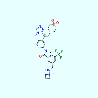 Cn1cnnc1[C@@H](CC1CCS(=O)(=O)CC1)c1cccc(N2Cc3c(cc(CNC4(C)CCC4)cc3C(F)(F)F)C2=O)c1